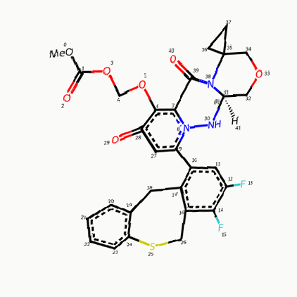 COC(=O)OCOc1c2n(c(-c3cc(F)c(F)c4c3Cc3ccccc3SC4)cc1=O)N[C@@H]1COCC3(CC3)N1C2=O